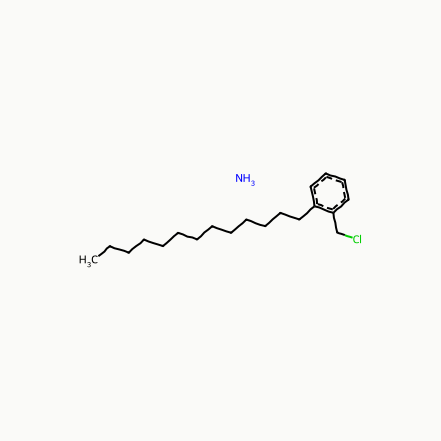 CCCCCCCCCCCCCc1ccccc1CCl.N